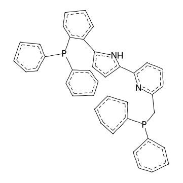 c1ccc(P(Cc2cccc(-c3ccc(-c4ccccc4P(c4ccccc4)c4ccccc4)[nH]3)n2)c2ccccc2)cc1